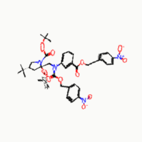 C[SiH](C)O[C@]1(CN(C(=O)OCc2ccc([N+](=O)[O-])cc2)c2cccc(C(=O)OCc3ccc([N+](=O)[O-])cc3)c2)C[C@H](C(C)(C)C)CN1C(=O)OC(C)(C)C